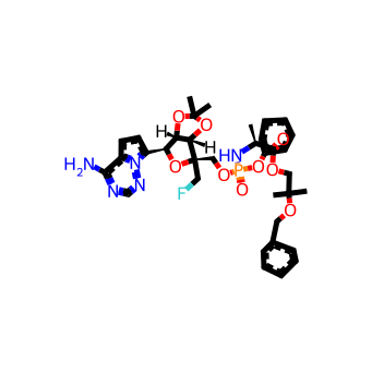 C[C@H](NP(=O)(OC[C@@]1(CF)O[C@@H](c2ccc3c(N)ncnn23)[C@@H]2OC(C)(C)O[C@@H]21)Oc1ccccc1)C(=O)OCC(C)(C)OCc1ccccc1